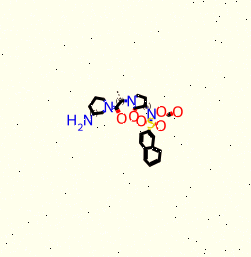 C[C@@H](C(=O)N1CCC[C@H](N)C1)N1CC[C@H](N(OC=O)S(=O)(=O)c2ccc3ccccc3c2)C1=O